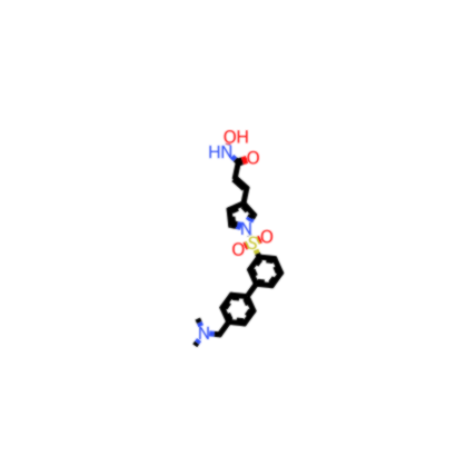 CN(C)Cc1ccc(-c2cccc(S(=O)(=O)n3ccc(/C=C/C(=O)NO)c3)c2)cc1